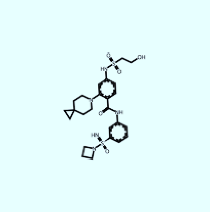 N=[S@@](=O)(c1cccc(NC(=O)c2ccc(NS(=O)(=O)CCO)cc2N2CCC3(CC2)CC3)c1)N1CCC1